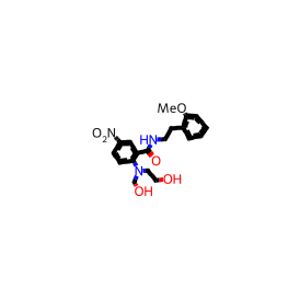 COc1ccccc1CCNC(=O)c1cc([N+](=O)[O-])ccc1N(CO)CCO